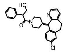 O=C(C(CO)c1ccccc1)N1CCC(=C2c3ccc(Cl)cc3CCc3cccnc32)CC1